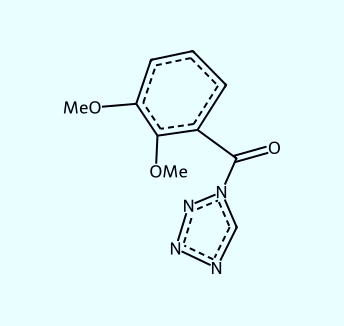 COc1cccc(C(=O)n2cnnn2)c1OC